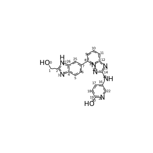 OCc1nc2ccc(-c3cccc4nc(Nc5ccc(O)nc5)nn34)cc2[nH]1